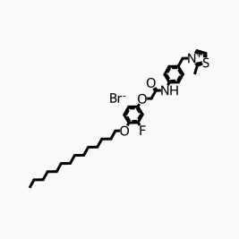 CCCCCCCCCCCCCCOc1ccc(OCC(=O)Nc2ccc(C[n+]3ccsc3C)cc2)cc1F.[Br-]